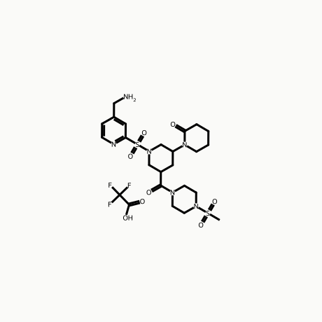 CS(=O)(=O)N1CCN(C(=O)C2CC(N3CCCCC3=O)CN(S(=O)(=O)c3cc(CN)ccn3)C2)CC1.O=C(O)C(F)(F)F